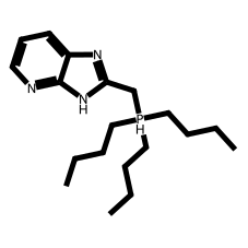 CCCC[PH](CCCC)(CCCC)Cc1nc2cccnc2[nH]1